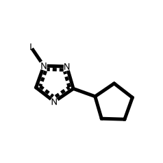 In1cnc(C2CCCC2)n1